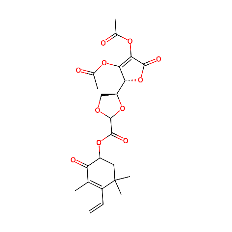 C=CC1=C(C)C(=O)C(OC(=O)C2OC[C@@H]([C@H]3OC(=O)C(OC(C)=O)=C3OC(C)=O)O2)CC1(C)C